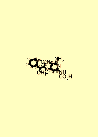 CC(Nc1cc(NC(=O)O)nc(N)c1[N+](=O)[O-])C(O)c1ccccc1